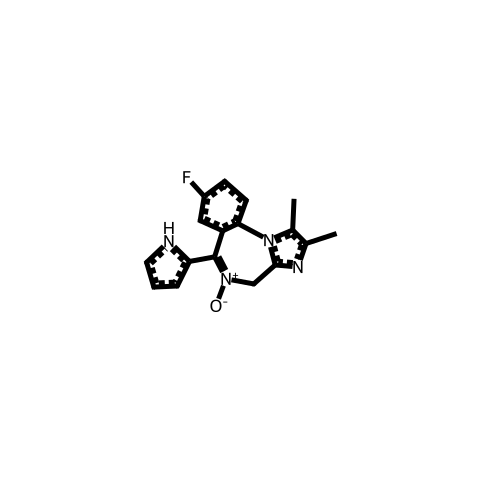 Cc1nc2n(c1C)-c1ccc(F)cc1C(c1ccc[nH]1)=[N+]([O-])C2